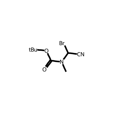 CN(C(=O)OC(C)(C)C)C(Br)C#N